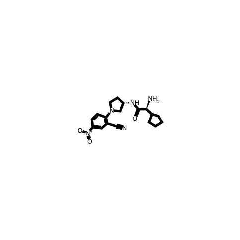 N#Cc1cc([N+](=O)[O-])ccc1N1CC[C@H](NC(=O)[C@@H](N)C2CCCC2)C1